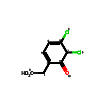 O=C(O)CC1=CC=C(Cl)C(Cl)C1=O